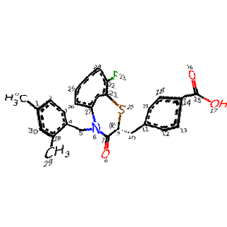 Cc1ccc(CN2C(=O)[C@@H](Cc3ccc(C(=O)O)cc3)Sc3c(F)cccc32)c(C)c1